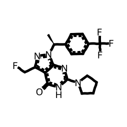 C[C@@H](c1ccc(C(F)(F)F)cc1)n1nc(CF)c2c(=O)[nH]c(N3CCCC3)nc21